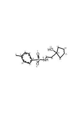 Cc1ccc(S(=O)(=O)NCCC2(O)CCCC2)cc1